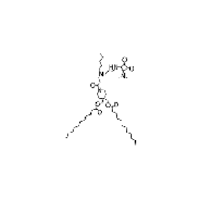 CCCCCCCCCCCC(=O)OCC1(COC(=O)CCCCCCCCCCC)CCN(C(=O)CCN(CCCCC)CCCNc2c(N(C)C)c(=O)c2=O)CC1